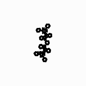 c1ccc(C2=NC(n3c4ccccc4c4c3c3ccccc3n4-c3cccc(-n4c5ccccc5c5c4c4ccccc4n5-c4nc(-c5ccccc5)nc(-c5ccccc5)n4)c3)NC(c3ccccc3)=N2)cc1